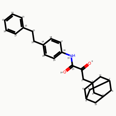 O=C(CC12CC3CC(CC(C3)C1)C2)C(=O)Nc1ccc(CCc2ccccc2)cc1